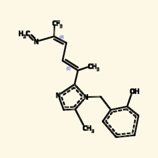 C=N/C(=C\C=C(/C)c1ncc(C)n1Cc1ccccc1O)C(F)(F)F